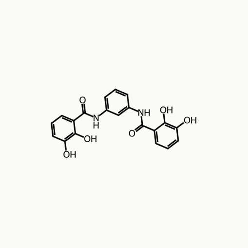 O=C(Nc1cccc(NC(=O)c2cccc(O)c2O)c1)c1cccc(O)c1O